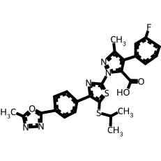 Cc1nnc(-c2ccc(-c3nc(-n4nc(C)c(-c5cccc(F)c5)c4C(=O)O)sc3SC(C)C)cc2)o1